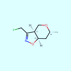 C[C@@H]1C[C@H]2ON=C(CF)[C@H]2CO1